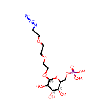 [N-]=[N+]=NCCOCCOCCO[C@H]1OC(COP(=O)(O)O)[C@@H](O)[C@H](O)C1O